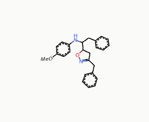 COc1ccc(NC(Cc2ccccc2)C2CC(Cc3ccccc3)=NO2)cc1